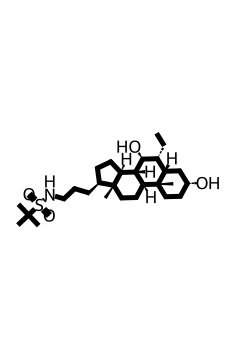 CC[C@H]1[C@@H](O)[C@@H]2[C@H](CC[C@]3(C)[C@@H](CCCNS(=O)(=O)C(C)(C)C)CC[C@@H]23)[C@@]2(C)CC[C@@H](O)C[C@@H]12